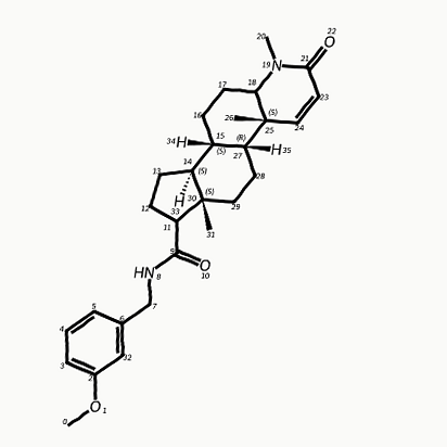 COc1cccc(CNC(=O)C2CC[C@H]3[C@@H]4CCC5N(C)C(=O)C=C[C@]5(C)[C@@H]4CC[C@]23C)c1